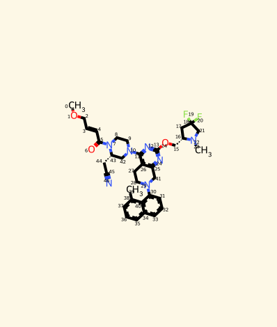 COC/C=C/C(=O)N1CCN(c2nc(OC[C@@H]3CC(F)(F)CN3C)nc3c2CCN(c2cccc4cccc(C)c24)C3)C[C@@H]1CC#N